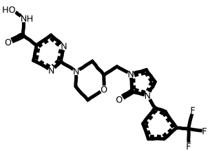 O=C(NO)c1cnc(N2CCOC(Cn3ccn(-c4cccc(C(F)(F)F)c4)c3=O)C2)nc1